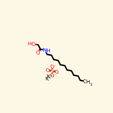 CCCCCCCCCCCCNC(=O)CO.O=S(=O)([O-])[O-].[K+].[K+]